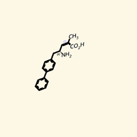 C/C(=C/[C@H](N)Cc1ccc(-c2ccccc2)cc1)C(=O)O